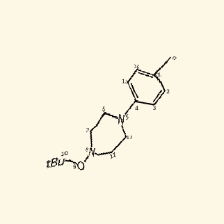 Cc1ccc(N2CCN(OC(C)(C)C)CC2)cc1